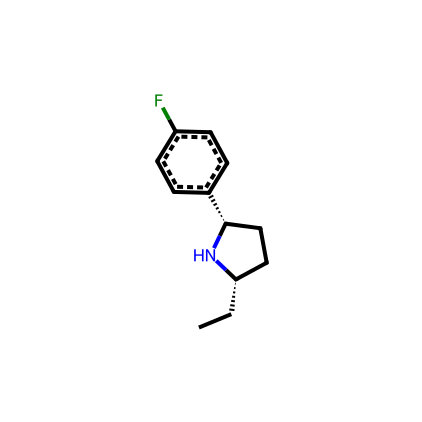 CC[C@H]1CC[C@@H](c2ccc(F)cc2)N1